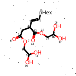 CCCCCCC=CC(CC(=O)OCC(O)O)C(=O)OCC(O)O